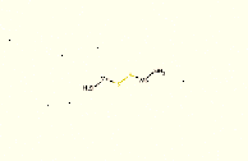 [SiH3][Mo][S][S][Mo][SiH3]